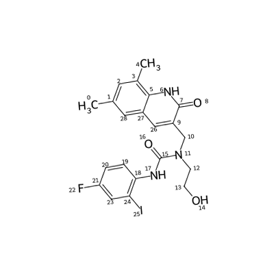 Cc1cc(C)c2[nH]c(=O)c(CN(CCO)C(=O)Nc3ccc(F)cc3I)cc2c1